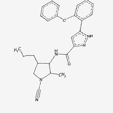 CCCC1CN(C#N)C(C)C1NC(=O)c1cc(-c2ccccc2Oc2ccccc2)[nH]n1